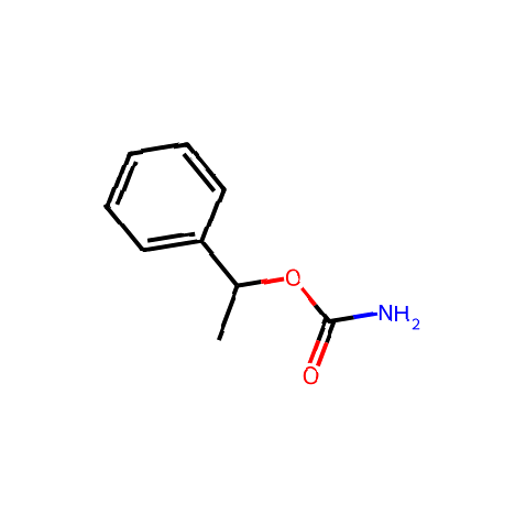 CC(OC(N)=O)c1ccccc1